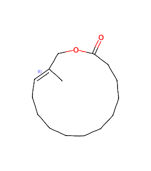 C/C1=C\CCCCCCCCCCC(=O)OC1